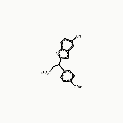 CCOC(=O)CC(c1ccc(OC)cc1)c1cc2cc(C#N)ccc2o1